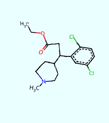 CCOC(=O)CC(c1cc(Cl)ccc1Cl)C1CCN(C)CC1